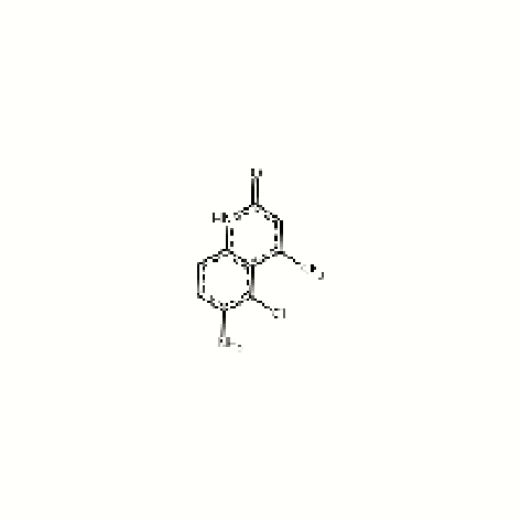 Nc1ccc2[nH]c(=O)cc(C(F)(F)F)c2c1Cl